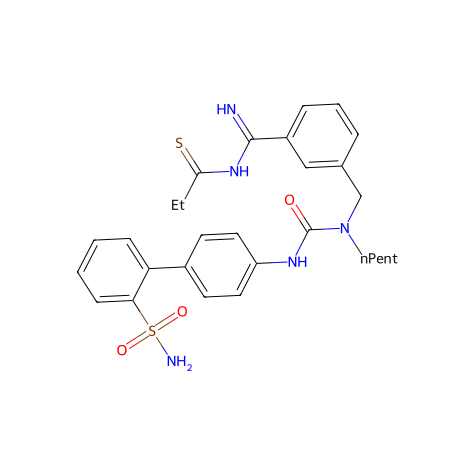 CCCCCN(Cc1cccc(C(=N)NC(=S)CC)c1)C(=O)Nc1ccc(-c2ccccc2S(N)(=O)=O)cc1